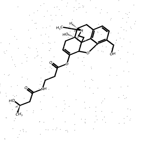 C[C@@H](O)CC(=O)NCCC(=O)OC1=CC[C@@]2(O)[C@H]3Cc4ccc(CO)c5c4C2(CCN3C)C1O5